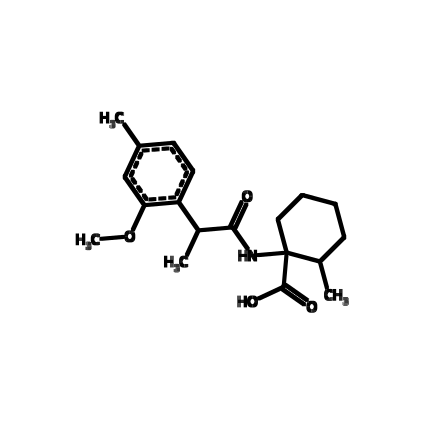 COc1cc(C)ccc1C(C)C(=O)NC1(C(=O)O)CCCCC1C